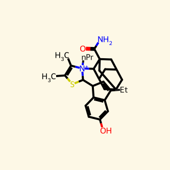 CCC[N+]1(C2C3CC4CC(C3)CC2(C(N)=O)C4)C(C)=C(C)SC1C1C=C(CC)c2cc(O)ccc21